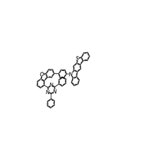 c1ccc(-c2nc(-c3ccccc3)nc(-c3cccc4oc5ccc(-c6ccc(-n7c8ccccc8c8cc9c(cc87)sc7ccccc79)cc6)cc5c34)n2)cc1